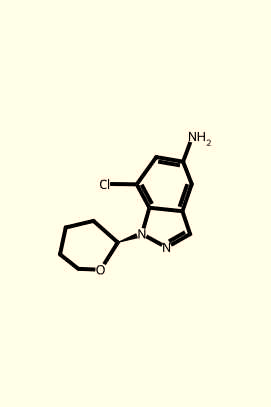 Nc1cc(Cl)c2c(cnn2[C@@H]2CCCCO2)c1